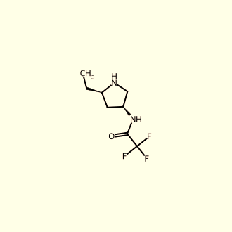 CC[C@@H]1C[C@H](NC(=O)C(F)(F)F)CN1